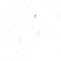 [2H][C@@]1(c2cccc(Cl)c2)OC(N)=C(OS(=O)(=O)Cc2ccccc2)C1=O